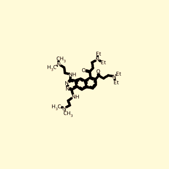 CCN(CC)CCC(=O)c1ccc2cc3c(NCCN(C)C)nnc(NCCN(C)C)c3cc2c1C(=O)CCN(CC)CC